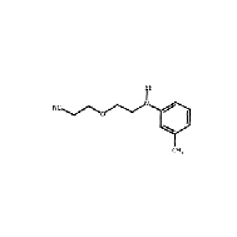 CCN(CCOCCC#N)c1cccc(C)c1